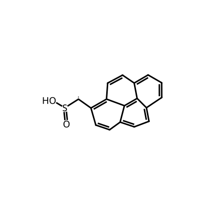 O=S(O)[CH]c1ccc2ccc3cccc4ccc1c2c34